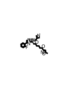 Cc1cc(C(=O)CCCCC[C@H](NC(=O)C2CN(C)C2)c2nc(-c3ccccc3F)c[nH]2)no1